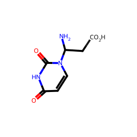 NC(CC(=O)O)n1ccc(=O)[nH]c1=O